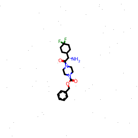 N[C@H](C(=O)N1CCN(C(=O)OCc2ccccc2)CC1)C1CCC(F)(F)CC1